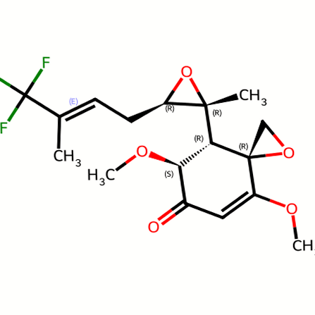 COC1=CC(=O)[C@@H](OC)[C@H]([C@@]2(C)O[C@@H]2C/C=C(\C)C(F)(F)F)[C@@]12CO2